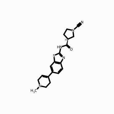 CN1CC=C(c2ccc3nc(NC(=O)[C@H]4CCN(C#N)C4)sc3c2)CC1